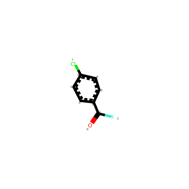 O=C(F)c1ccc(Cl)cc1